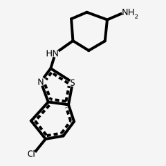 NC1CCC(Nc2nc3cc(Cl)ccc3s2)CC1